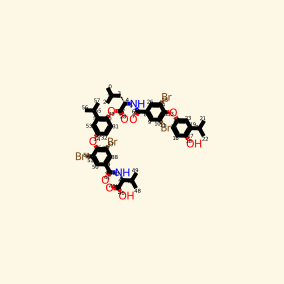 CC(C)C[C@H](NC(=O)c1cc(Br)c(Oc2ccc(O)c(C(C)C)c2)c(Br)c1)C(=O)Oc1ccc(Oc2c(Br)cc(C(=O)N[C@H](C(=O)O)C(C)C)cc2Br)cc1C(C)C